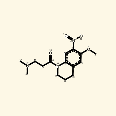 COc1cc2c(cc1[N+](=O)[O-])N(C(=O)CCN(C)C)CCC2